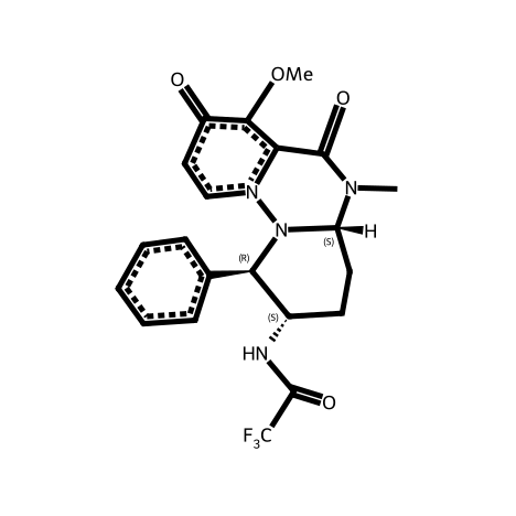 COc1c2n(ccc1=O)N1[C@H](c3ccccc3)[C@@H](NC(=O)C(F)(F)F)CC[C@H]1N(C)C2=O